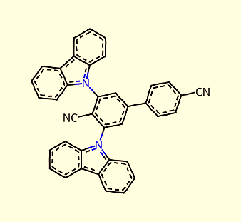 N#Cc1ccc(-c2cc(-n3c4ccccc4c4ccccc43)c(C#N)c(-n3c4ccccc4c4ccccc43)c2)cc1